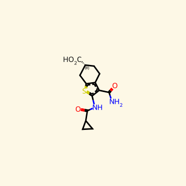 NC(=O)c1c(NC(=O)C2CC2)sc2c1CC[C@@H](C(=O)O)C2